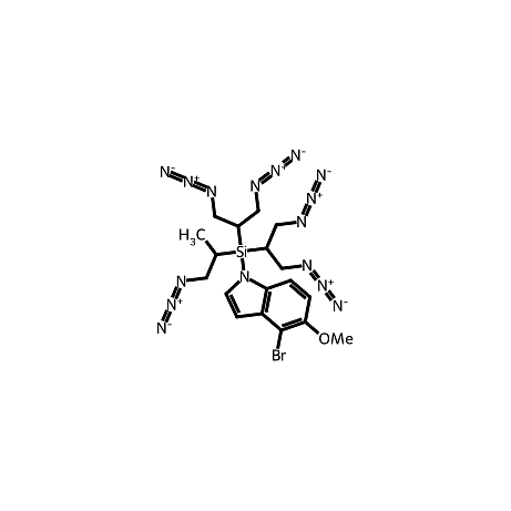 COc1ccc2c(ccn2[Si](C(C)CN=[N+]=[N-])(C(CN=[N+]=[N-])CN=[N+]=[N-])C(CN=[N+]=[N-])CN=[N+]=[N-])c1Br